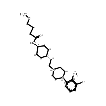 COCCCC(=O)N[C@H]1CC[C@H](CCN2CCN(c3cccc(F)c3C)CC2)CC1